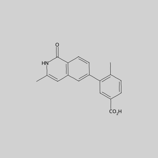 Cc1cc2cc(-c3cc(C(=O)O)ccc3C)ccc2c(=O)[nH]1